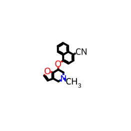 CN1Cc2ccoc2C(Oc2ccc(C#N)c3ccccc23)C1